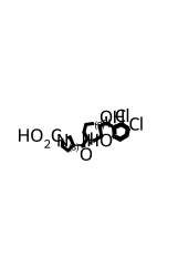 O=C(O)N1CC[C@H](C(=O)N2CCC[C@H]([C@@H](O)c3c(O)ccc(Cl)c3Cl)CC2)C1